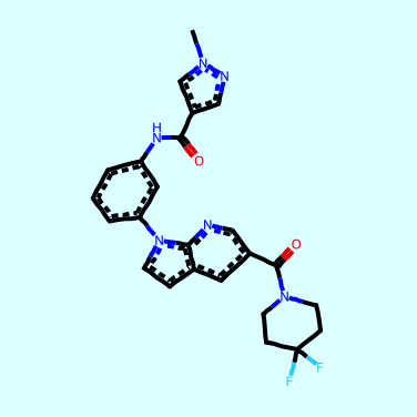 Cn1cc(C(=O)Nc2cccc(-n3ccc4cc(C(=O)N5CCC(F)(F)CC5)cnc43)c2)cn1